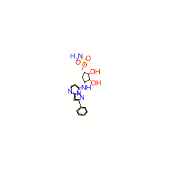 NS(=O)(=O)OC[C@H]1C[C@@H](Nc2ccnc3cc(-c4ccccc4)nn23)[C@H](O)[C@@H]1O